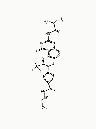 CONNC(=O)c1ccc(N(Cc2cnc3nc(NC(=O)C(C)C)[nH]c(=O)c3n2)C(=O)C(F)(F)F)cc1